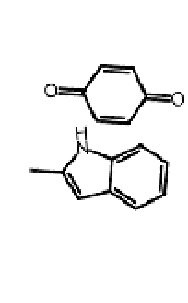 Cc1cc2ccccc2[nH]1.O=C1C=CC(=O)C=C1